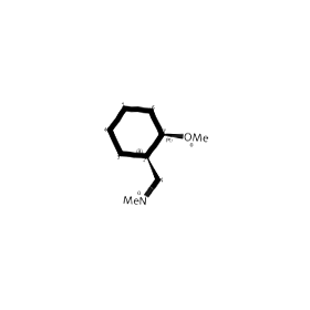 CNC[C@H]1CCCC[C@H]1OC